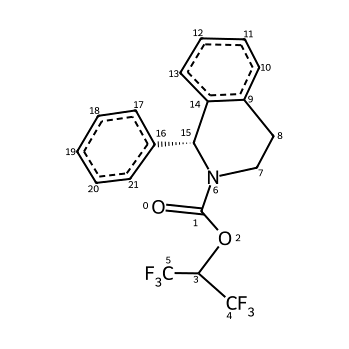 O=C(OC(C(F)(F)F)C(F)(F)F)N1CCc2ccccc2[C@H]1c1ccccc1